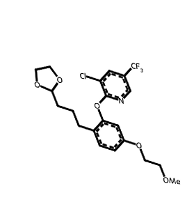 COCCOc1ccc(CCCC2OCCO2)c(Oc2ncc(C(F)(F)F)cc2Cl)c1